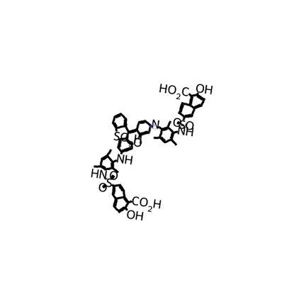 Cc1cc(C)c(NS(=O)(=O)c2ccc3c(C(=O)O)c(O)ccc3c2)c(C)c1/N=c1/ccc2c(-c3ccccc3S(=O)(=O)O)c3ccc(Nc4c(C)cc(C)c(NS(=O)(=O)c5ccc6c(C(=O)O)c(O)ccc6c5)c4C)cc3oc-2c1